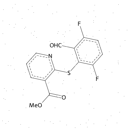 COC(=O)c1cccnc1Sc1c(F)ccc(F)c1C=O